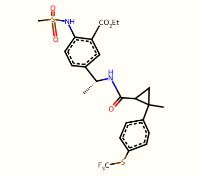 CCOC(=O)c1cc([C@@H](C)NC(=O)C2CC2(C)c2ccc(SC(F)(F)F)cc2)ccc1NS(C)(=O)=O